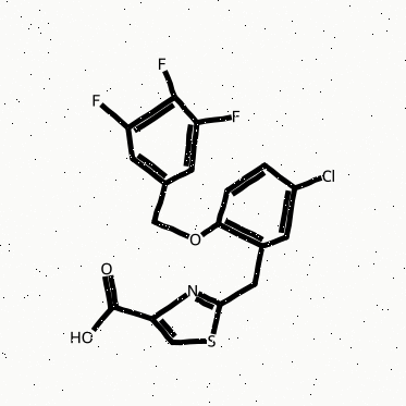 O=C(O)c1csc(Cc2cc(Cl)ccc2OCc2cc(F)c(F)c(F)c2)n1